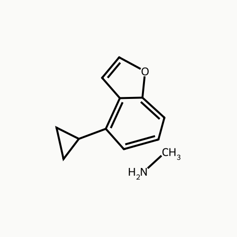 CN.c1cc(C2CC2)c2ccoc2c1